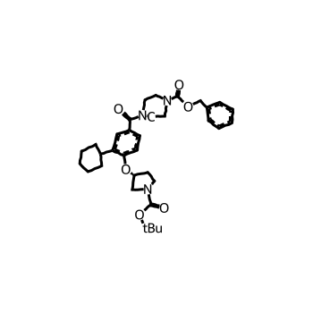 CC(C)(C)OC(=O)N1CC[C@H](Oc2ccc(C(=O)N3CCN(C(=O)OCc4ccccc4)CC3)cc2C2CCCCC2)C1